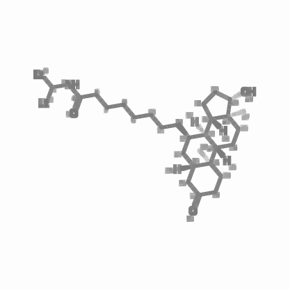 CCC(CC)NC(=O)CCCCCCC[C@@H]1C[C@H]2CC(=O)CC[C@]2(C)[C@H]2CC[C@]3(C)[C@@H](O)CC[C@H]3[C@H]12